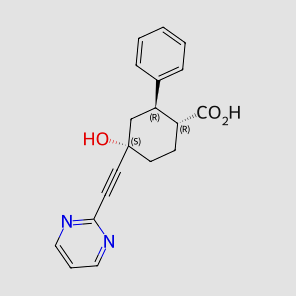 O=C(O)[C@@H]1CC[C@@](O)(C#Cc2ncccn2)C[C@H]1c1ccccc1